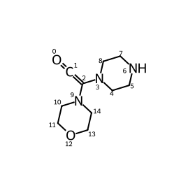 O=C=C(N1CCNCC1)N1CCOCC1